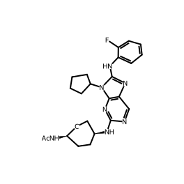 CC(=O)N[C@H]1CC[C@@H](Nc2ncc3nc(Nc4ccccc4F)n(C4CCCC4)c3n2)CC1